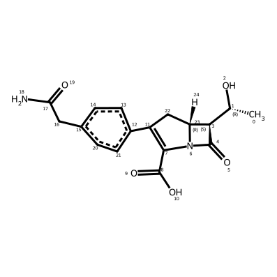 C[C@@H](O)[C@H]1C(=O)N2C(C(=O)O)=C(c3ccc(CC(N)=O)cc3)C[C@H]12